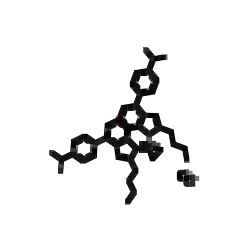 CCCCC1=Cc2c(-c3ccc(C(C)C)cc3)cccc2[CH]1[Zr+2]1([CH]2C(CCCC)=Cc3c(-c4ccc(C(C)C)cc4)cccc32)[CH2][CH2]1.[Cl-].[Cl-]